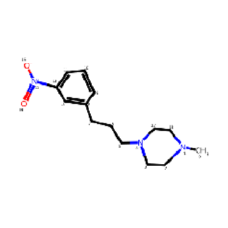 CN1CCN(CCCc2cccc([N+](=O)[O-])c2)CC1